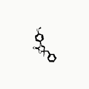 COc1ccc(N2CC(F)(Cc3ccccc3)OC2=O)cc1